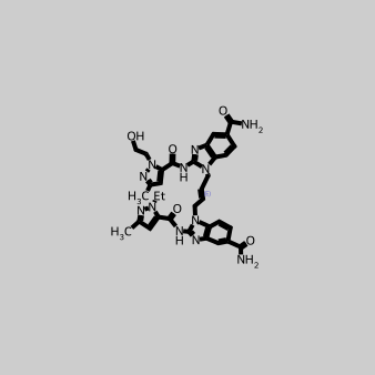 CCn1nc(C)cc1C(=O)Nc1nc2cc(C(N)=O)ccc2n1C/C=C/Cn1c(NC(=O)c2cc(C)nn2CCO)nc2cc(C(N)=O)ccc21